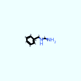 NCNCc1ccccc1